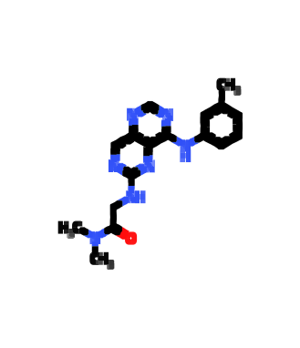 Cc1cccc(Nc2ncnc3cnc(NCC(=O)N(C)C)nc23)c1